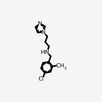 Cc1cc(Cl)ccc1CNCCCn1ccnc1